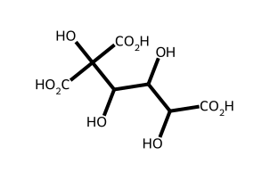 O=C(O)C(O)C(O)C(O)C(O)(C(=O)O)C(=O)O